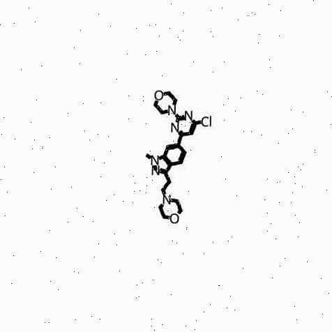 Cn1nc(CCN2CCOCC2)c2ccc(-c3cc(Cl)nc(N4CCOCC4)n3)cc21